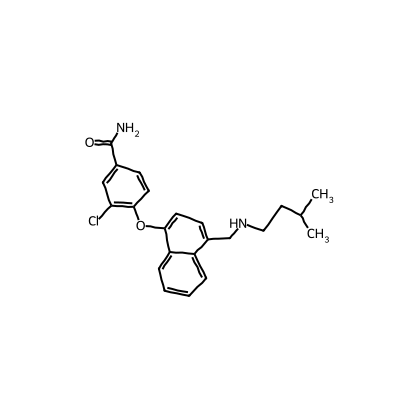 CC(C)CCNCc1ccc(Oc2ccc(C(N)=O)cc2Cl)c2ccccc12